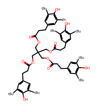 CC(C)c1cc(CCC(=O)OCC(COC(=O)CCc2cc(C(C)(C)C)c(O)c(C(C)(C)C)c2)(COC(=O)CCc2cc(C(C)(C)C)c(O)c(C(C)(C)C)c2)COC(=O)CCc2cc(C(C)(C)C)c(O)c(C(C)(C)C)c2)cc(C(C)(C)C)c1O